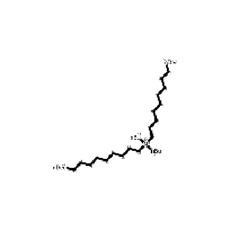 CCCCCCCCCCCCCCCCCCC[N+](CCCC)(CCCC)CCCCCCCCCCCCCCCCCCC